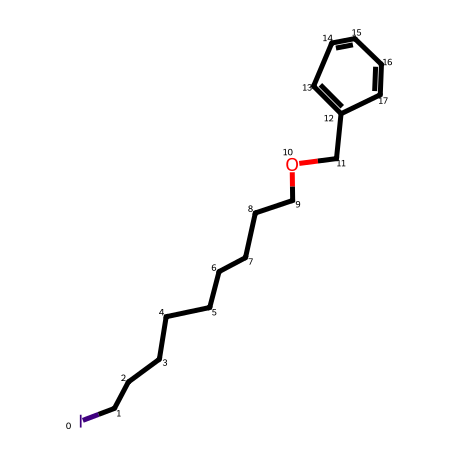 ICCCCCCCCCOCc1ccccc1